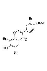 COc1ccc(-c2coc3c(Br)c(O)c(Br)cc3c2=O)cc1Br